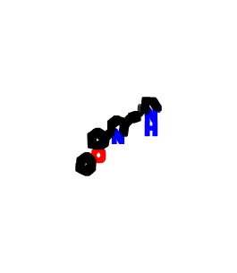 C(#C[C@@H]1CCCN1)c1ccc(-c2cccc(Oc3ccccc3)c2)nc1